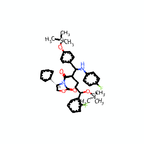 C[Si](C)(C)Oc1ccc(C(Nc2ccc(F)cc2)C(CCC(O[Si](C)(C)C)c2ccccc2F)C(=O)N2C(=O)OC[C@@H]2c2ccccc2)cc1